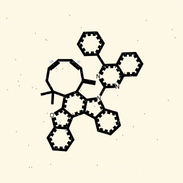 C=C1/C=C\C=C/CC(C)(C)c2c1c1c(c3ccccc3n1-c1nc(-c3ccccc3)c3ccccc3n1)c1c2oc2ccccc21